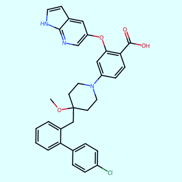 COC1(Cc2ccccc2-c2ccc(Cl)cc2)CCN(c2ccc(C(=O)O)c(Oc3cnc4[nH]ccc4c3)c2)CC1